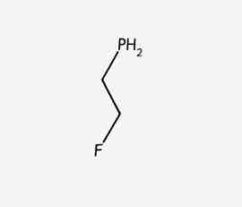 FCCP